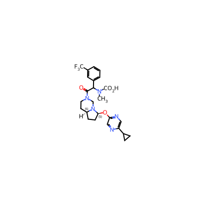 CN(C(=O)O)C(C(=O)N1CC[C@@H]2CC[C@H](Oc3cnc(C4CC4)cn3)N2C1)c1cccc(C(F)(F)F)c1